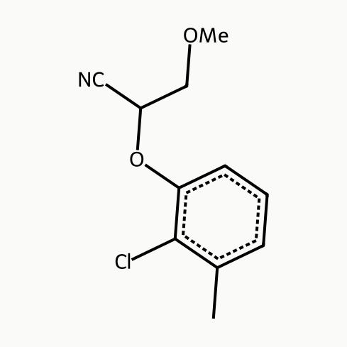 COCC(C#N)Oc1cccc(C)c1Cl